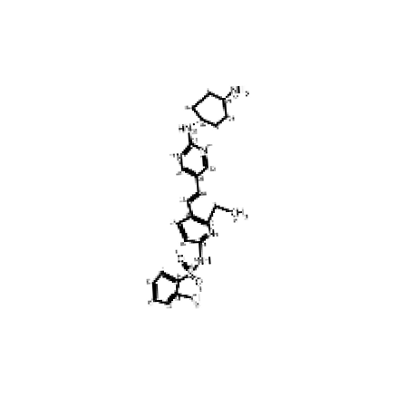 CCc1nc(NS(=O)(=O)c2ccccc2Cl)ccc1/C=C/c1cnc(N[C@H]2CC[C@H](N)CC2)nc1